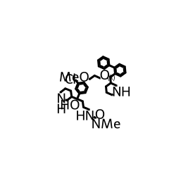 CNC(=O)NCCCC(O)(c1cccc(Cl)c1)C1CCCNC1.COCCCO[C@@H](c1ccccc1-c1ccccc1)C1CCCNC1